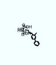 Cc1cc(-c2ccccc2)ccc1/C=C/CC(P(=O)(O)O)P(=O)(O)O